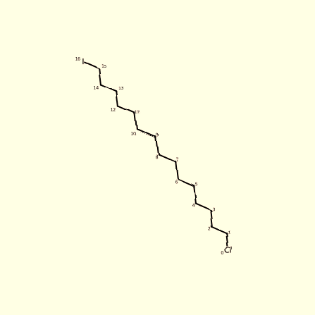 ClCCCCCCCCCCCCCCCI